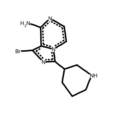 Nc1nccn2c(C3CCCNC3)nc(Br)c12